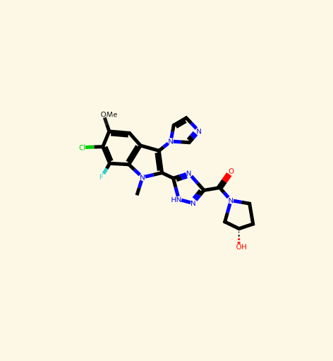 COc1cc2c(-n3ccnc3)c(-c3nc(C(=O)N4CC[C@H](O)C4)n[nH]3)n(C)c2c(F)c1Cl